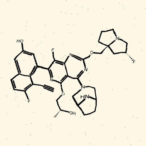 C#Cc1c(F)ccc2cc(O)cc(-c3nc(OC[C@@H](C)O)c4c(N5CC6CCC(C5)N6)nc(OC[C@@]56CCCN5C[C@H](F)C6)nc4c3F)c12